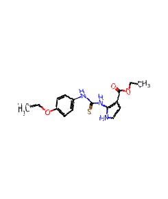 CCOC(=O)c1cc[nH]c1NC(=S)Nc1ccc(OCC)cc1